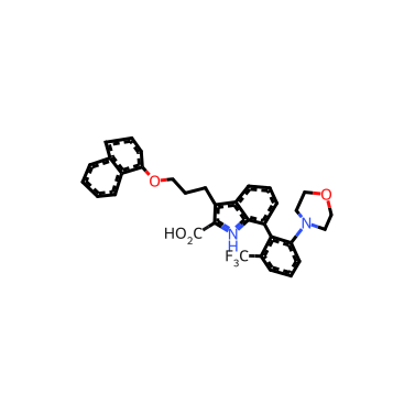 O=C(O)c1[nH]c2c(-c3c(N4CCOCC4)cccc3C(F)(F)F)cccc2c1CCCOc1cccc2ccccc12